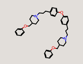 c1ccc(OCC2CCN(CCCc3ccc(Oc4ccc(CCCN5CCC(COc6ccccc6)CC5)cc4)cc3)CC2)cc1